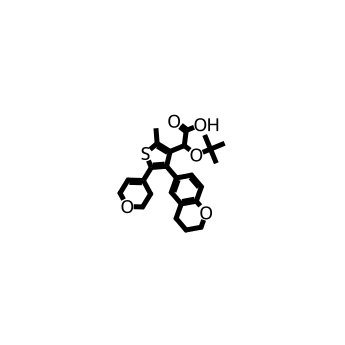 Cc1sc(C2=CCOCC2)c(-c2ccc3c(c2)CCCO3)c1C(OC(C)(C)C)C(=O)O